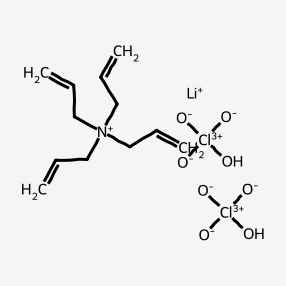 C=CC[N+](CC=C)(CC=C)CC=C.[Li+].[O-][Cl+3]([O-])([O-])O.[O-][Cl+3]([O-])([O-])O